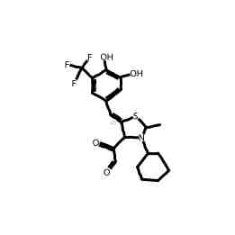 CC1S/C(=C\c2cc(O)c(O)c(C(F)(F)F)c2)C(C(=O)C=O)N1C1CCCCC1